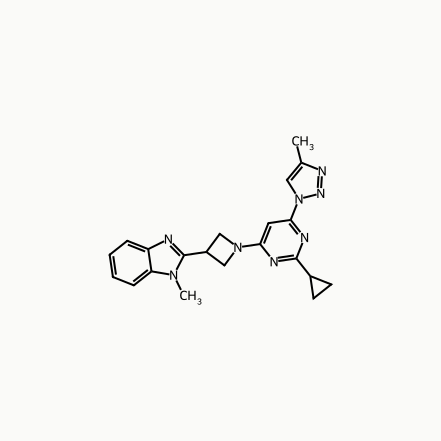 Cc1cn(-c2cc(N3CC(c4nc5ccccc5n4C)C3)nc(C3CC3)n2)nn1